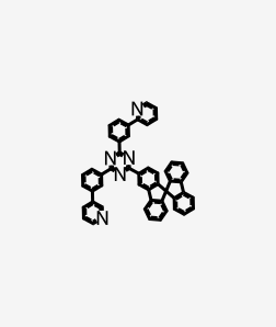 c1ccc(-c2cccc(-c3nc(-c4cccc(-c5cccnc5)c4)nc(-c4ccc5c(c4)-c4ccccc4C54c5ccccc5-c5ccccc54)n3)c2)nc1